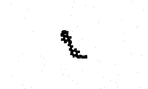 CCCCCC1CCC(CCCOc2ccc(OCCCC)cc2)CC1